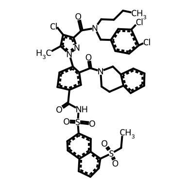 CCCCN(Cc1ccc(Cl)c(Cl)c1)C(=O)c1nn(-c2ccc(C(=O)NS(=O)(=O)c3ccc4cccc(S(=O)(=O)CC)c4c3)cc2C(=O)N2CCc3ccccc3C2)c(C)c1Cl